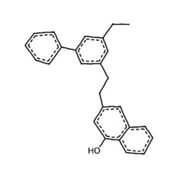 CCc1cc(CCc2cc(O)c3ccccc3c2)cc(-c2ccccc2)c1